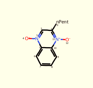 CCCCCc1c[n+]([O-])c2ccccc2[n+]1[O-]